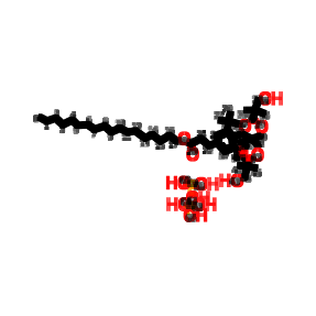 CCCCCCCCCCCCCCCCCCOC(=O)CCc1cc(C(C)(C)C)c(C2OC(C(C)(C)CO)OCC23COC(C(C)(C)CO)OC3)c(C(C)(C)C)c1.OP(O)O.OP(O)O